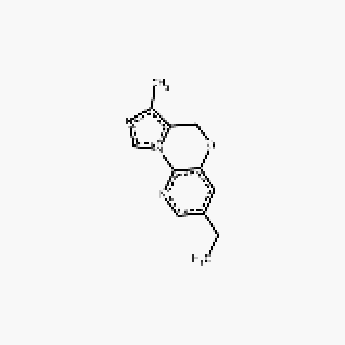 CCc1cnc2c(c1)OCc1c(C)ncn1-2